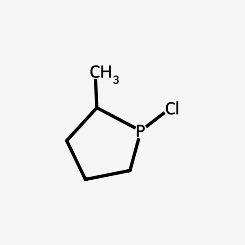 CC1CCCP1Cl